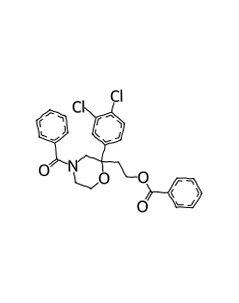 O=C(OCCC1(c2ccc(Cl)c(Cl)c2)CN(C(=O)c2ccccc2)CCO1)c1ccccc1